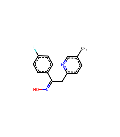 O/N=C(/Cc1ccc(C(F)(F)F)cn1)c1ccc(F)cc1